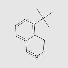 CC(C)(C)c1cccc2cnccc12